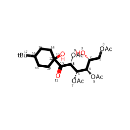 CC(=O)OC[C@@H](O)[C@@H](OC(C)=O)[C@H](OC(C)=O)[C@@H](OC(C)=O)C(=O)C1(O)CCC(C(C)(C)C)CC1